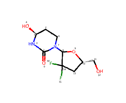 O=C1N[C@@H](O)CCN1C1O[C@H](CO)CC1(F)F